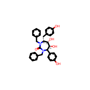 O=C1N(Cc2ccccc2)C(c2ccc(O)cc2)[C@H](O)[C@@H](O)[C@@H](Cc2ccc(O)cc2)N1Cc1ccccc1